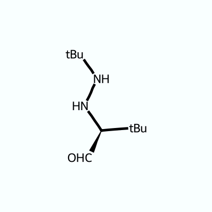 CC(C)(C)NN[C@H](C=O)C(C)(C)C